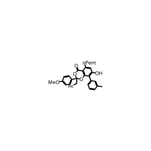 CCCCCc1cc(O)c(-c2cccc(C)c2)c2c1C(=O)OC(CC(C)=O)(c1ccc(OC)cc1)O2